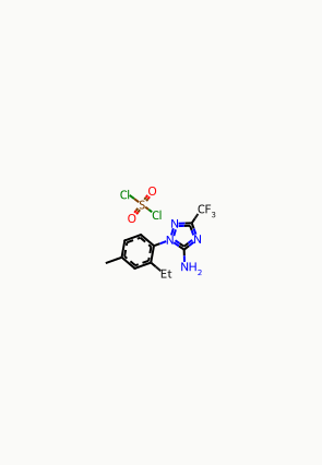 CCc1cc(C)ccc1-n1nc(C(F)(F)F)nc1N.O=S(=O)(Cl)Cl